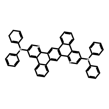 C1=CC(N(c2ccccc2)c2cnc3c(c2)c2ccccc2c2cc4c(cc23)c2ccccc2c2cc(N(c3ccccc3)c3ccccc3)cnc24)=CCC1